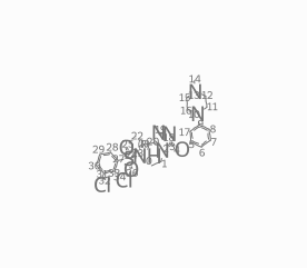 CCn1c(Oc2cccc(N3CCN(C)CC3)c2)nnc1[C@@H](C)NS(=O)(=O)c1cccc(Cl)c1Cl